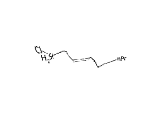 CCCCC=CC[SiH2]Cl